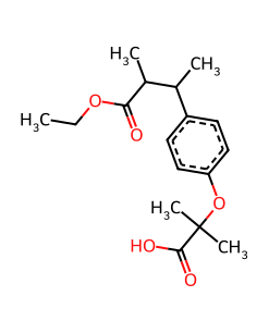 CCOC(=O)C(C)C(C)c1ccc(OC(C)(C)C(=O)O)cc1